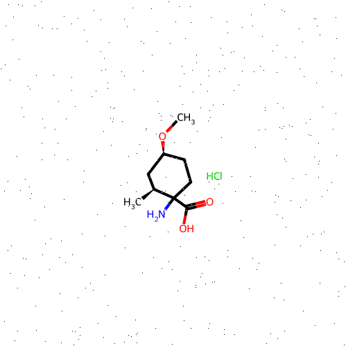 CO[C@H]1CCC(N)(C(=O)O)[C@@H](C)C1.Cl